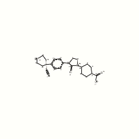 N#CC1(c2ccc(N3CCN(C4CCC(C(=O)O)CC4)C3=O)cc2)CCNCC1